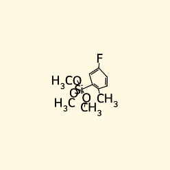 CO[Si](OC)(OC)c1cc(F)ccc1C